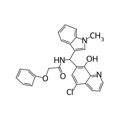 Cn1cc(C(NC(=O)COc2ccccc2)c2cc(Cl)c3cccnc3c2O)c2ccccc21